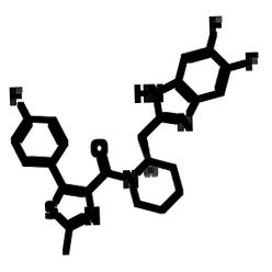 Cc1nc(C(=O)N2CCCC[C@@H]2Cc2nc3cc(F)c(F)cc3[nH]2)c(-c2ccc(F)cc2)s1